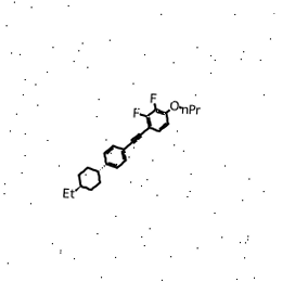 CCCOc1ccc(C#Cc2ccc([C@H]3CC[C@H](CC)CC3)cc2)c(F)c1F